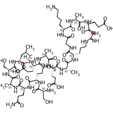 CSCC[C@H](NC(=O)[C@@H](N)CO)C(=O)N[C@@H](CCC(N)=O)C(=O)N[C@@H](C)C(=O)N[C@@H](CO)C(=O)N[C@@H](CC(C)C)C(=O)N[C@@H](CCC(=O)O)C(=O)N[C@@H](C)C(=O)N[C@@H](CCC(=O)O)C(=O)N[C@@H](C)C(=O)N[C@@H](CCCNC(=N)N)C(=O)NCC(=O)N[C@@H](CCCCN)C(=O)N[C@@H](C)C(=O)N[C@@H](CCC(=O)O)C(=O)O